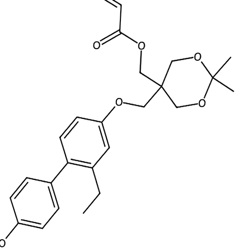 C=CC(=O)OCC1(COc2ccc(-c3ccc(O)cc3)c(CC)c2)COC(C)(C)OC1